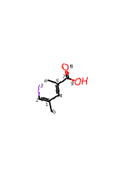 CC(=CI)C=C(C)C(=O)O